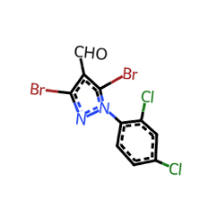 O=Cc1c(Br)nn(-c2ccc(Cl)cc2Cl)c1Br